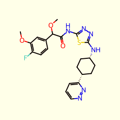 COc1cc(C(OC)C(=O)Nc2nnc(N[C@H]3CC[C@@H](c4cccnn4)CC3)s2)ccc1F